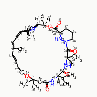 C=c1nc2cc/c1=C/C=C(C)/C=C/CCOC(C)(C)CC(=O)N[C@@H](C(C)C)C(=O)N[C@@H](C)C(=O)N1CCC[C@H](N1)C(=O)O[C@@H]2C